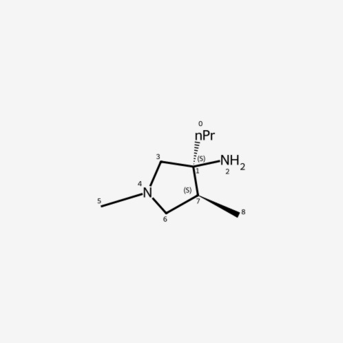 CCC[C@@]1(N)CN(C)C[C@@H]1C